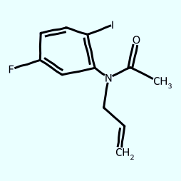 C=CCN(C(C)=O)c1cc(F)ccc1I